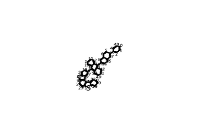 c1ccc(-c2ccc3cc(-c4c5ccccc5c(-c5ccc6sc7ccc8sc9ccccc9c8c7c6c5)c5ccccc45)ccc3c2)cc1